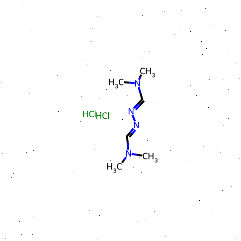 CN(C)C=NN=CN(C)C.Cl.Cl